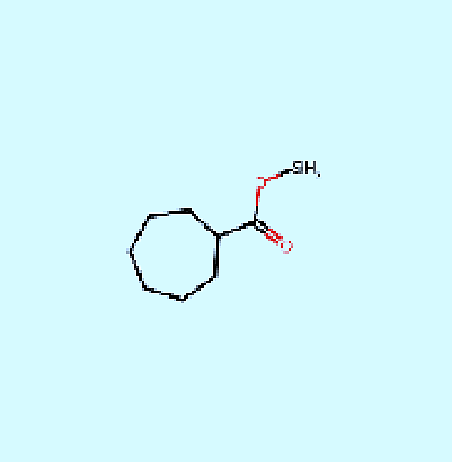 O=C(O[SiH3])C1CCCCCC1